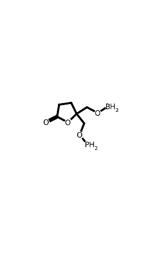 BOCC1(COP)CCC(=O)O1